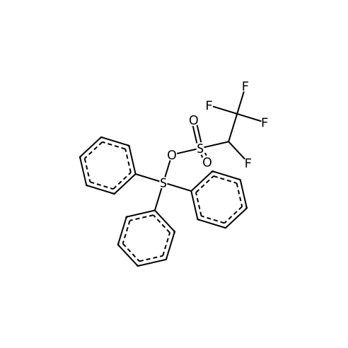 O=S(=O)(OS(c1ccccc1)(c1ccccc1)c1ccccc1)C(F)C(F)(F)F